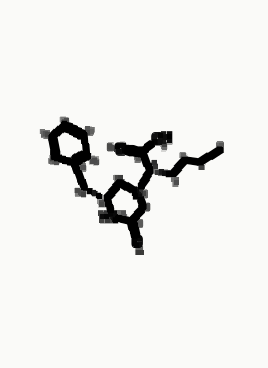 CCCC[C@@H](C(=O)O)N1CC(=O)N[C@H](Cc2ccccc2)C1